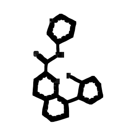 O=C(Nc1cccnc1)c1ccc2cccc(-c3ccccc3F)c2n1